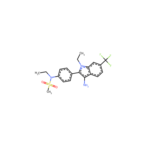 CCN(c1ccc(-c2c(N)c3ccc(C(F)(F)F)cc3n2CC)cc1)S(C)(=O)=O